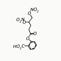 O=C(CCC(CO[N+](=O)[O-])O[N+](=O)[O-])Oc1ccccc1C(=O)O